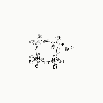 CCC1=C(CC)c2cc3[n-]c(cc4nc(cc5[n-]c(cc1n2)c(CC)c5CC)C(=O)C4(CC)CC)c(CC)c3CC.[Pd+2]